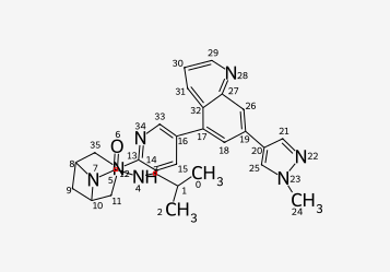 CC(C)CNC(=O)N1C2CC1CN(c1ccc(-c3cc(-c4cnn(C)c4)cc4ncccc34)cn1)C2